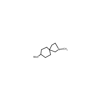 CSC1CCC2(CC1)CCN(C)C2